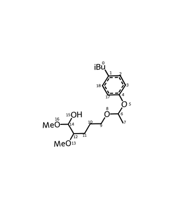 CCC(C)c1ccc(OC(C)OCCCC(OC)C(O)OC)cc1